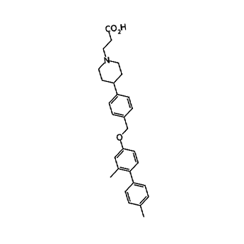 Cc1ccc(-c2ccc(OCc3ccc(C4CCN(CCC(=O)O)CC4)cc3)cc2C)cc1